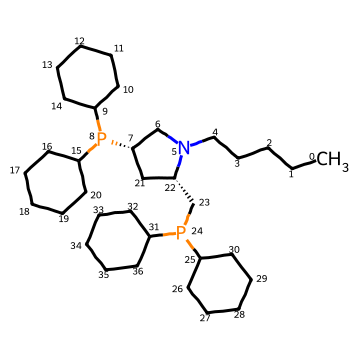 CCCCCN1C[C@@H](P(C2CCCCC2)C2CCCCC2)C[C@H]1CP(C1CCCCC1)C1CCCCC1